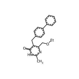 CCOCc1nc(C)[nH]c(=O)c1Cc1ccc(-c2ccccc2)cc1